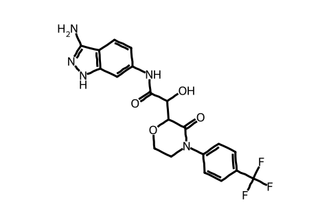 Nc1n[nH]c2cc(NC(=O)C(O)C3OCCN(c4ccc(C(F)(F)F)cc4)C3=O)ccc12